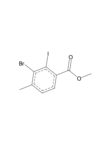 COC(=O)c1ccc(C)c(Br)c1I